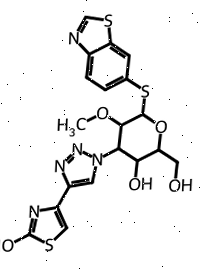 COC1C(Sc2ccc3ncsc3c2)OC(CO)C(O)C1n1cc(-c2csc(O)n2)nn1